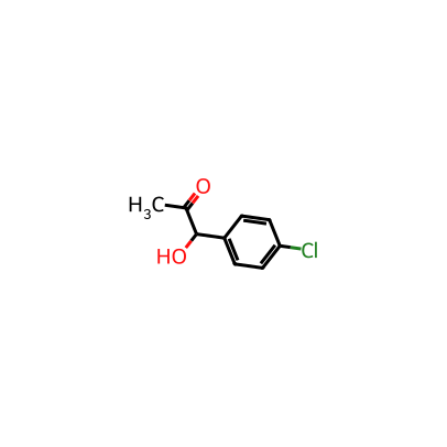 CC(=O)C(O)c1ccc(Cl)cc1